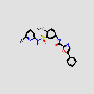 COc1ccc(NC(=O)c2ncc(-c3ccccc3)o2)cc1S(=O)(=O)Nc1cccc(C(F)(F)F)n1